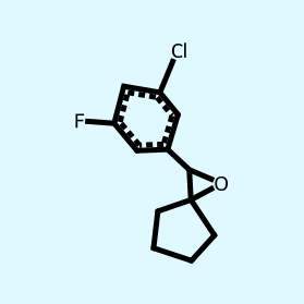 Fc1cc(Cl)cc(C2OC23CCCC3)c1